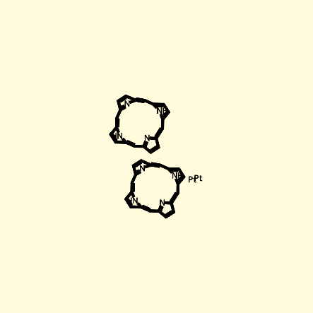 C1=Cc2cc3ccc(cc4nc(cc5ccc(cc1n2)[nH]5)C=C4)[nH]3.C1=Cc2cc3ccc(cc4nc(cc5ccc(cc1n2)[nH]5)C=C4)[nH]3.[Pt].[Pt]